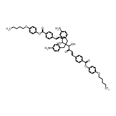 Nc1ccc(CC(Cc2ccc(N)cc2)(C(O)C(=O)/C=C/c2ccc(C(=O)Oc3ccc(OCCCCC(F)(F)F)cc3)cc2)C(O)C(=O)/C=C/c2ccc(C(=O)Oc3ccc(OCCCCC(F)(F)F)cc3)cc2)cc1